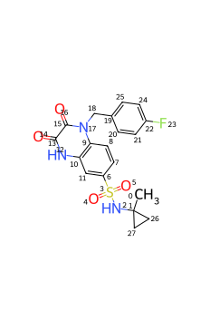 CC1(NS(=O)(=O)c2ccc3c(c2)[nH]c(=O)c(=O)n3Cc2ccc(F)cc2)CC1